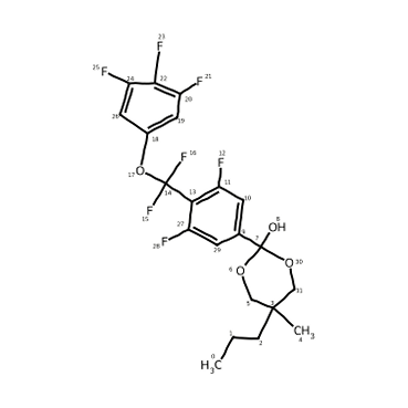 CCCC1(C)COC(O)(c2cc(F)c(C(F)(F)Oc3cc(F)c(F)c(F)c3)c(F)c2)OC1